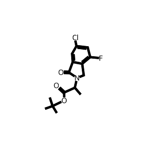 CC(C(=O)OC(C)(C)C)N1Cc2c(F)cc(Cl)cc2C1=O